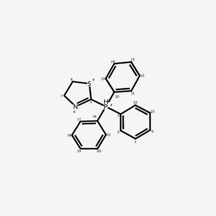 c1ccc([PH](C2=NCCS2)(c2ccccc2)c2ccccc2)cc1